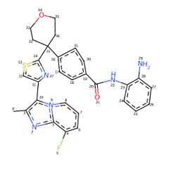 Cc1nc2c(F)cccn2c1-c1csc(C2(c3ccc(C(=O)Nc4ccccc4N)cc3)CCOCC2)n1